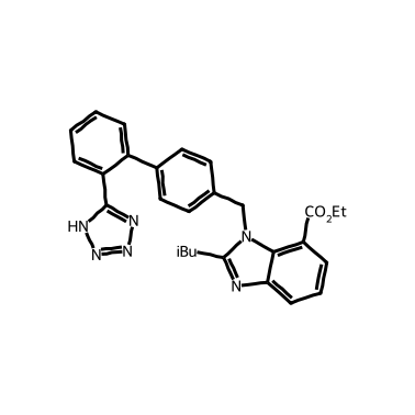 CCOC(=O)c1cccc2nc(C(C)CC)n(Cc3ccc(-c4ccccc4-c4nnn[nH]4)cc3)c12